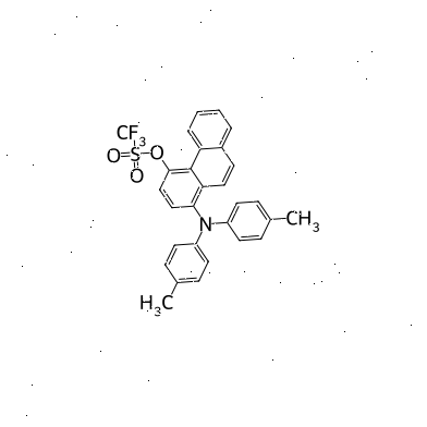 Cc1ccc(N(c2ccc(C)cc2)c2ccc(OS(=O)(=O)C(F)(F)F)c3c2ccc2ccccc23)cc1